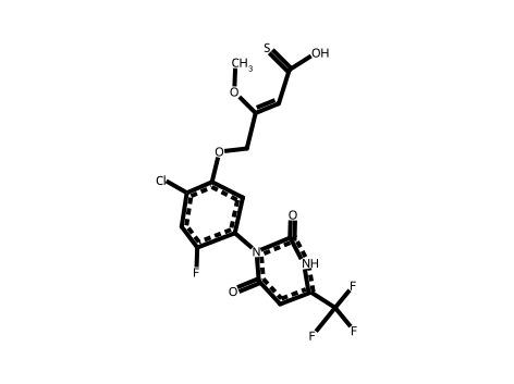 CO/C(=C\C(O)=S)COc1cc(-n2c(=O)cc(C(F)(F)F)[nH]c2=O)c(F)cc1Cl